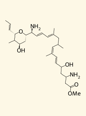 C/C=C/[C@@H]1O[C@H]([C@@H](N)/C=C/C=C(\C)CC(C)/C=C(C)\C=C\C(O)CC(N)CC(=O)OC)C[C@@H](O)C1C